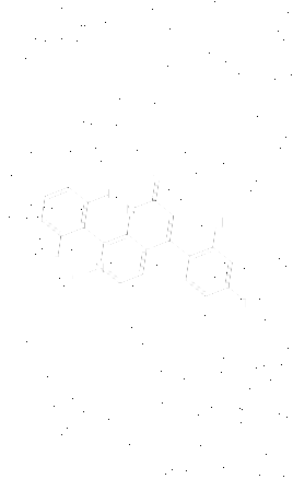 O=c1cc(-c2ccc(F)cc2Cl)c2cc[n+]([O-])c(-c3c(F)cccc3F)c2[nH]1